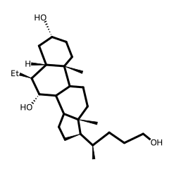 CC[C@@H]1[C@@H](O)C2C3CC[C@H]([C@H](C)CCCO)[C@@]3(C)CCC2[C@@]2(C)CC[C@@H](O)C[C@@H]12